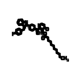 CCCCCCCCCCCC(=O)OCn1c(N(C)C2CCN(c3nc4ccccc4n3Cc3ccc(F)cc3)CC2)nccc1=O